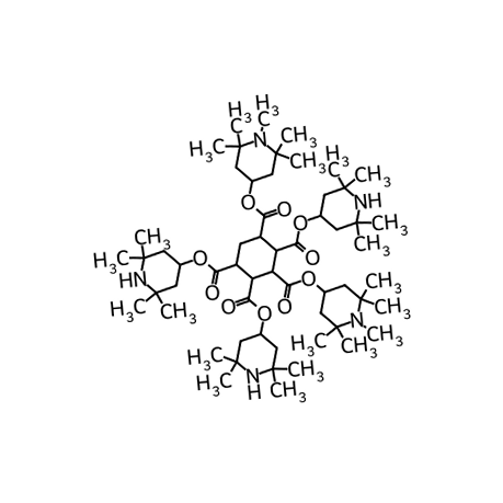 CN1C(C)(C)CC(OC(=O)C2CC(C(=O)OC3CC(C)(C)NC(C)(C)C3)C(C(=O)OC3CC(C)(C)NC(C)(C)C3)C(C(=O)OC3CC(C)(C)N(C)C(C)(C)C3)C2C(=O)OC2CC(C)(C)NC(C)(C)C2)CC1(C)C